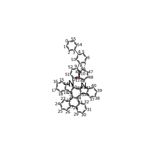 c1ccc(-c2cccc(-c3ccc(-n4c5ccccc5c5c6c7ccccc7c7ccccc7c6c6c7ccccc7n(-c7ccccc7)c6c54)cc3)c2)cc1